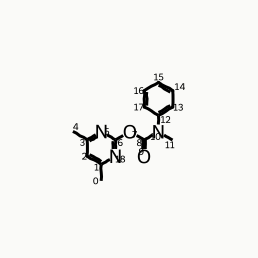 Cc1cc(C)nc(OC(=O)N(C)c2ccccc2)n1